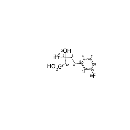 CC(C)C(O)(CCc1cccc(F)c1)CC(=O)O